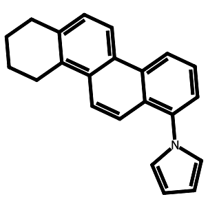 c1cc(-n2cccc2)c2ccc3c4c(ccc3c2c1)CCCC4